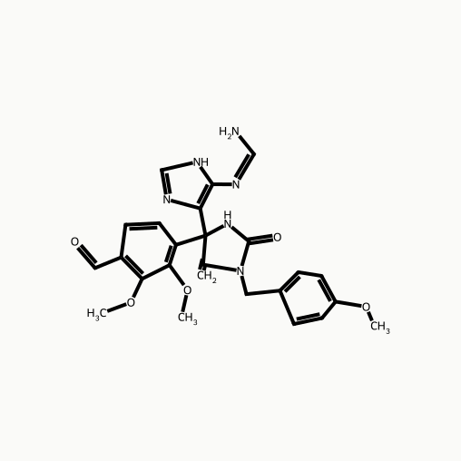 C=C1N(Cc2ccc(OC)cc2)C(=O)NC1(c1ccc(C=O)c(OC)c1OC)c1nc[nH]c1/N=C\N